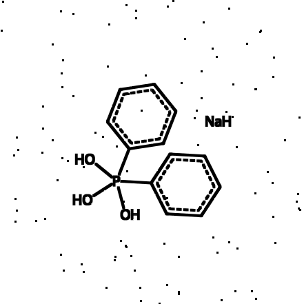 OP(O)(O)(c1ccccc1)c1ccccc1.[NaH]